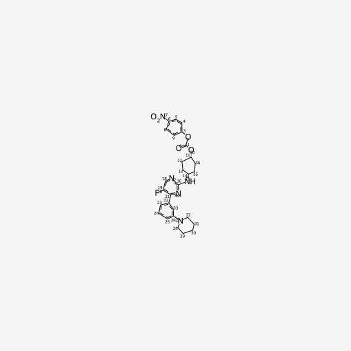 O=C(Oc1ccc([N+](=O)[O-])cc1)O[C@H]1CC[C@H](Nc2ncc(F)c(-c3cccc(N4CCCCC4)c3)n2)CC1